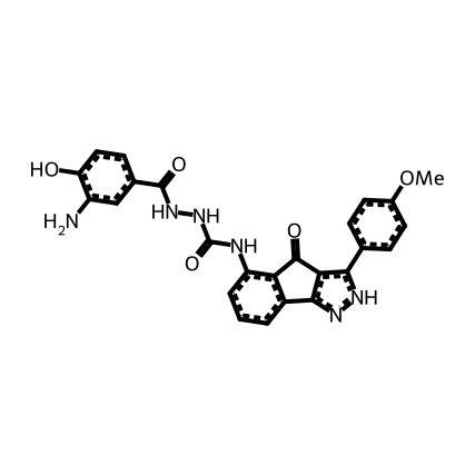 COc1ccc(-c2[nH]nc3c2C(=O)c2c(NC(=O)NNC(=O)c4ccc(O)c(N)c4)cccc2-3)cc1